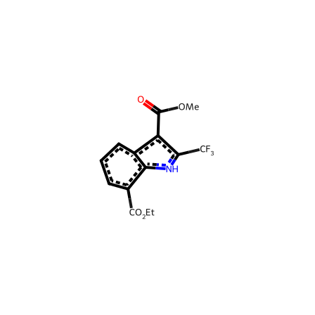 CCOC(=O)c1cccc2c(C(=O)OC)c(C(F)(F)F)[nH]c12